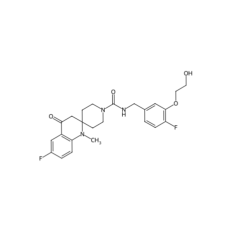 CN1c2ccc(F)cc2C(=O)CC12CCN(C(=O)NCc1ccc(F)c(OCCO)c1)CC2